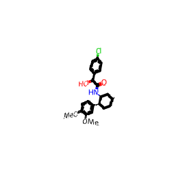 COc1ccc([C@@H]2CCCC[C@H]2NC(=O)C(O)c2ccc(Cl)cc2)cc1OC